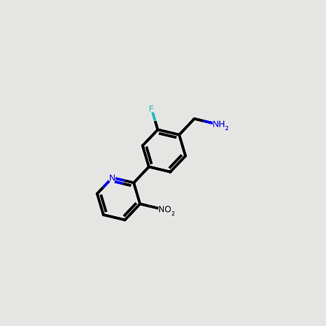 NCc1ccc(-c2ncccc2[N+](=O)[O-])cc1F